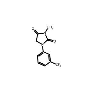 CN1C(=O)CN(c2cccc(C(F)(F)F)c2)C1=O